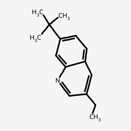 CCc1cnc2cc(C(C)(C)C)ccc2c1